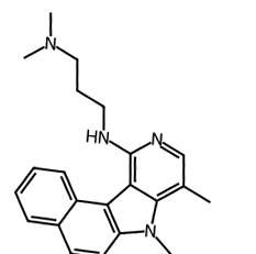 Cc1cnc(NCCCN(C)C)c2c3c4ccccc4ccc3n(C)c12